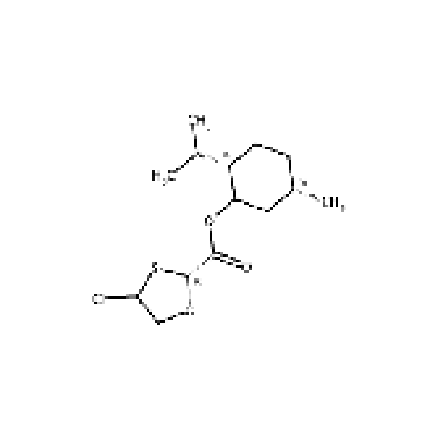 CC(C)[C@@H]1CC[C@H](C)CC1OC(=O)[C@@H]1OCC(Cl)S1